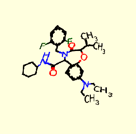 CCN(CC)c1ccc2c(c1)OC(C(C)C)C(=O)N(Cc1c(F)cccc1F)C2C(=O)NC1CCCCC1